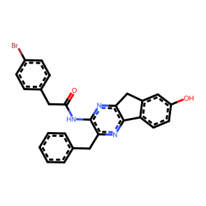 O=C(Cc1ccc(Br)cc1)Nc1nc2c(nc1Cc1ccccc1)-c1ccc(O)cc1C2